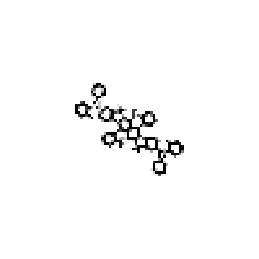 Cc1ccccc1N(c1ccccc1)c1ccc2c(c1)C(C)(C)c1cc3c(-c4ccccc4F)c4c(cc3c(-c3ccccc3F)c1-2)C(C)(C)c1cc(N(c2ccccc2)c2ccccc2C)ccc1-4